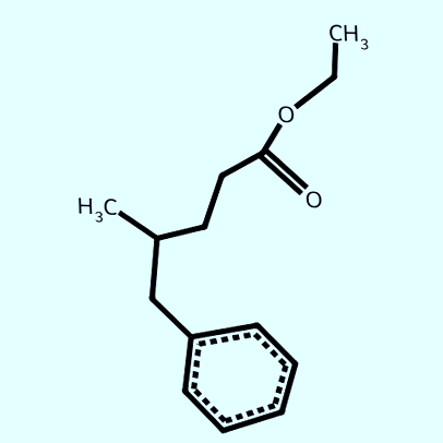 CCOC(=O)CCC(C)Cc1ccccc1